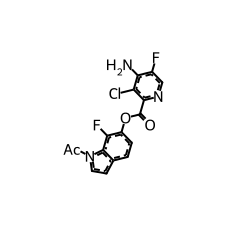 CC(=O)n1ccc2ccc(OC(=O)c3ncc(F)c(N)c3Cl)c(F)c21